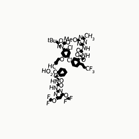 C#CCOc1cc(-n2nc(C(C)(C)C)oc2=O)c(Cl)cc1Cl.COc1nc(C)nc(NC(=O)NS(=O)(=O)c2ccccc2CCC(F)(F)F)n1.O=C(Nc1nc(OC(F)F)cc(OC(F)F)n1)NS(=O)(=O)c1ccccc1C(=O)O